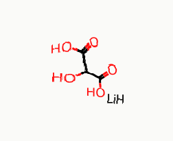 O=C(O)C(O)C(=O)O.[LiH]